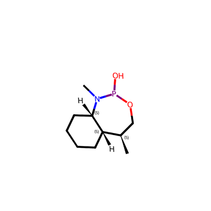 C[C@@H]1COP(O)N(C)[C@H]2CCCC[C@@H]12